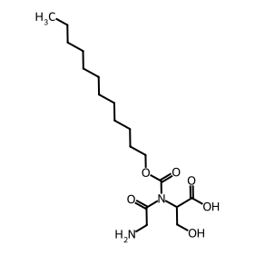 CCCCCCCCCCCCOC(=O)N(C(=O)CN)C(CO)C(=O)O